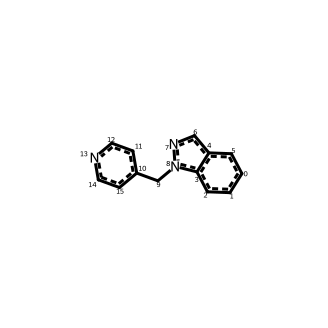 c1ccc2c(c1)cnn2Cc1ccncc1